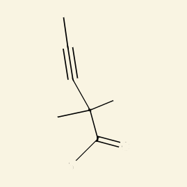 CC#CC(C)(C)C(=O)[S]